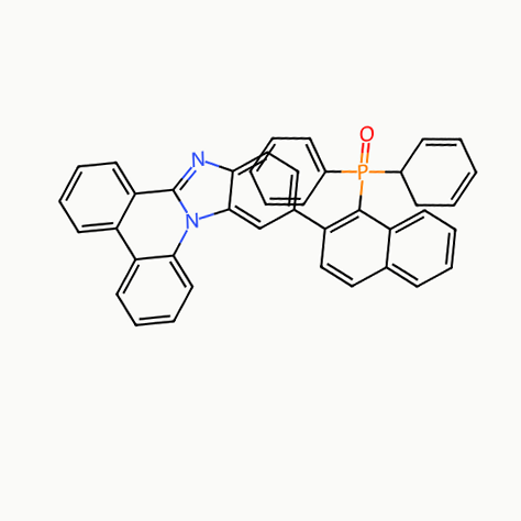 O=P(c1ccccc1)(c1c(-c2ccc3nc4c5ccccc5c5ccccc5n4c3c2)ccc2ccccc12)C1C=CC=CC1